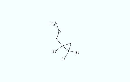 CCC1(CC)CC1(CC)CON